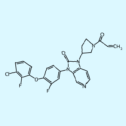 C=CC(=O)N1CCC(n2c(=O)n(-c3ccc(Oc4cccc(Cl)c4F)c(F)c3)c3cnccc32)C1